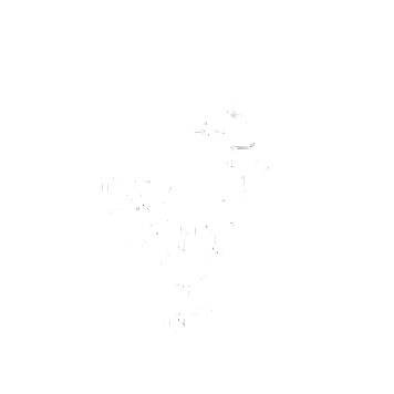 C[C@H]1[C@H](NC(=O)C(=NOCCOc2nc(C(=N)N)cs2)c2csc(N)n2)C(=O)N1S(=O)(=O)O